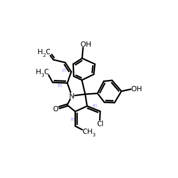 C=C/C=C\C(=C/C)N1C(=O)C(=C/C)/C(=C\Cl)C1(c1ccc(O)cc1)c1ccc(O)cc1